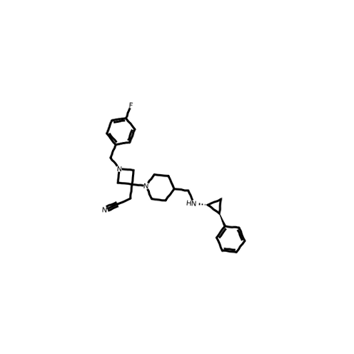 N#CCC1(N2CCC(CN[C@@H]3C[C@H]3c3ccccc3)CC2)CN(Cc2ccc(F)cc2)C1